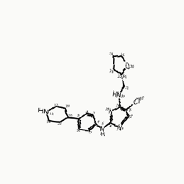 Clc1cnc(Nc2ccc(C3CCNCC3)cc2)nc1NC[C@H]1CCCO1